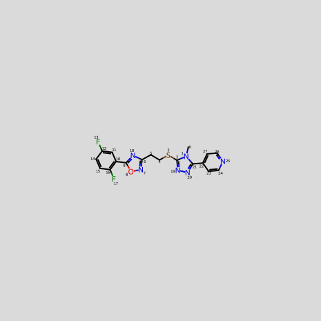 Cn1c(SCCc2noc(-c3cc(F)ccc3F)n2)nnc1-c1ccncc1